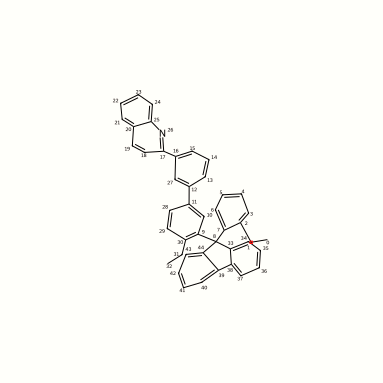 CCc1ccccc1C1(c2cc(-c3cccc(-c4ccc5ccccc5n4)c3)ccc2CC)c2ccccc2-c2ccccc21